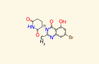 Cc1nc2cc(Br)cc(O)c2c(=O)n1[C@H]1CCC(=O)NC1=O